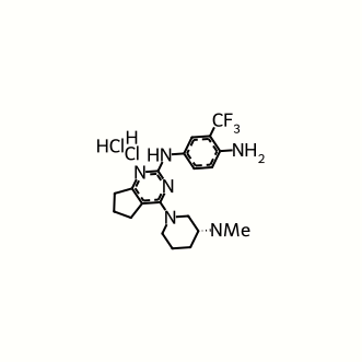 CN[C@@H]1CCCN(c2nc(Nc3ccc(N)c(C(F)(F)F)c3)nc3c2CCC3)C1.Cl.Cl